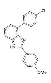 COc1ccc(-c2nc3c(-c4ccc(Cl)cc4)cccc3[nH]2)cc1